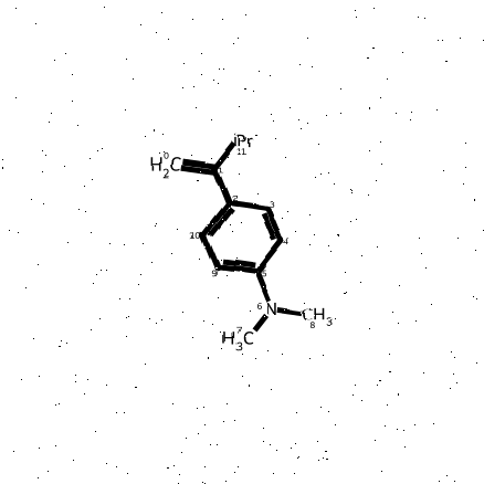 C=C(c1ccc(N(C)C)cc1)C(C)C